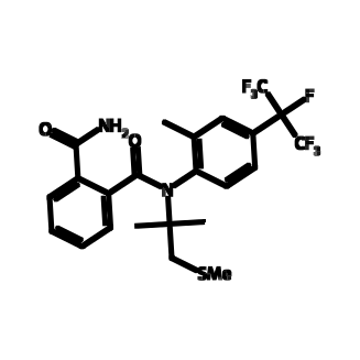 CSCC(C)(C)N(C(=O)c1ccccc1C(N)=O)c1ccc(C(F)(C(F)(F)F)C(F)(F)F)cc1C